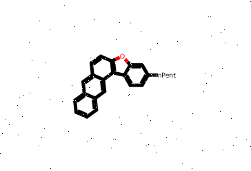 CCCCCc1ccc2c(c1)oc1ccc3cc4ccccc4cc3c12